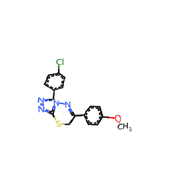 COc1ccc(C2=Nn3c(nnc3-c3ccc(Cl)cc3)SC2)cc1